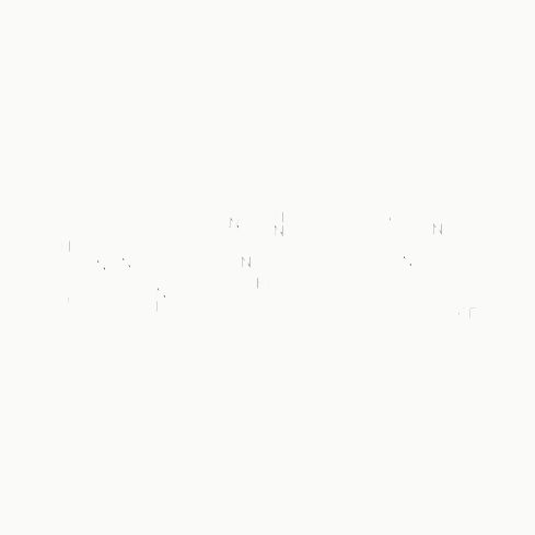 CCn1c(NCc2ccc(Oc3ncc(OC(F)(F)F)cn3)cc2)nc2ccc(Nc3cc(C(F)(F)F)n(C)n3)cc21